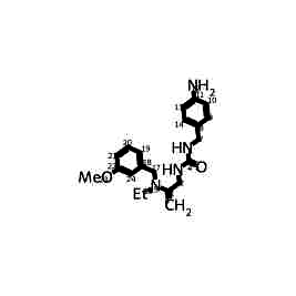 C=C(CNC(=O)NCc1ccc(N)cc1)N(CC)Cc1cccc(OC)c1